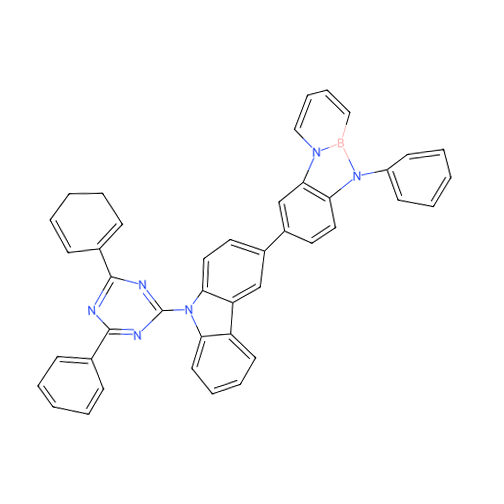 C1=CB2N(C=C1)c1cc(-c3ccc4c(c3)c3ccccc3n4-c3nc(C4=CCCC=C4)nc(-c4ccccc4)n3)ccc1N2c1ccccc1